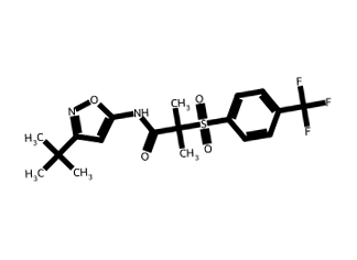 CC(C)(C)c1cc(NC(=O)C(C)(C)S(=O)(=O)c2ccc(C(F)(F)F)cc2)on1